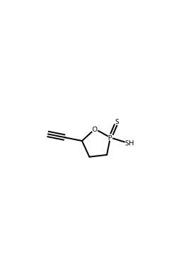 C#CC1CCP(=S)(S)O1